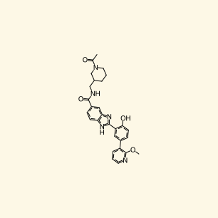 COc1ncccc1-c1ccc(O)c(-c2nc3cc(C(=O)NCC4CCCN(C(C)=O)C4)ccc3[nH]2)c1